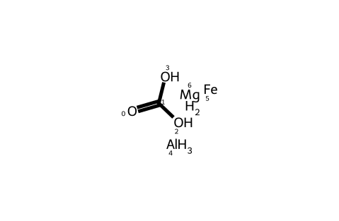 O=C(O)O.[AlH3].[Fe].[MgH2]